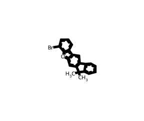 CC1(C)c2ccccc2-c2cc3c(cc21)oc1c(Br)cccc13